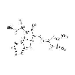 CC1=CC(O/C=C2/C(=O)N(C(=O)OC(C)(C)C)C3c4ccccc4CC23)OC1=O